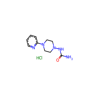 Cl.NC(=O)NN1CCN(c2ccccn2)CC1